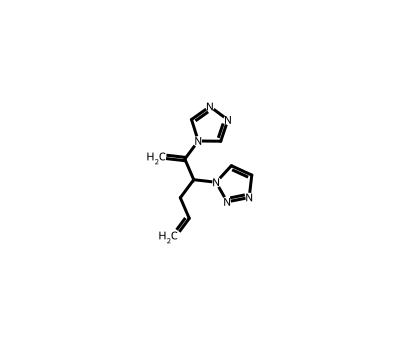 C=CC[C](C(=C)n1cnnc1)n1ccnn1